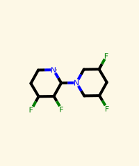 FC1CC(F)CN(C2[N]CCC(F)C2F)C1